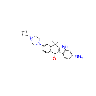 CC1(C)c2cc(N3CCN(C4CCC4)CC3)ccc2C(=O)c2c1[nH]c1cc(N)ccc21